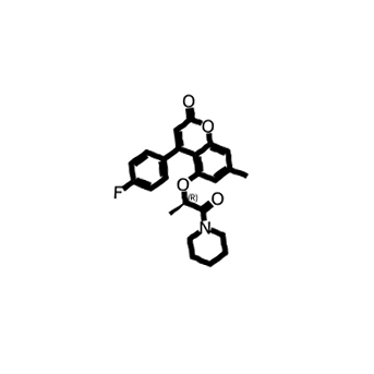 Cc1cc(O[C@H](C)C(=O)N2CCCCC2)c2c(-c3ccc(F)cc3)cc(=O)oc2c1